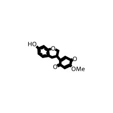 COC1=CC(=O)C(C2COc3cc(O)ccc3C2)=CC1=O